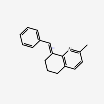 Cc1ccc2c(n1)/C(=C/c1ccccc1)CCC2